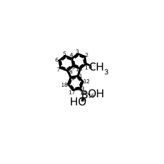 Cc1ccc2cccc3c2c1-c1cc(B(O)O)ccc1-3